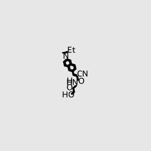 CCC1CN1c1ccc2cc(/C=C(\C#N)C(=O)NCC(O)CO)ccc2c1